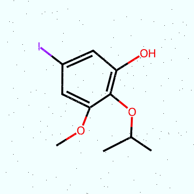 COc1cc(I)cc(O)c1OC(C)C